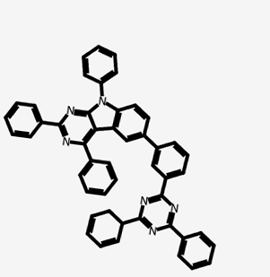 C1=CCC(c2nc(-c3ccccc3)nc(-c3cccc(-c4ccc5c(c4)c4c(-c6ccccc6)nc(-c6ccccc6)nc4n5-c4ccccc4)c3)n2)C=C1